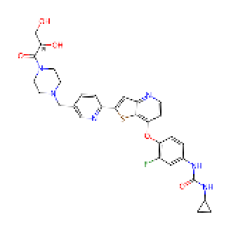 O=C(Nc1ccc(Oc2ccnc3cc(-c4ccc(CN5CCN(C(=O)[C@H](O)CO)CC5)cn4)sc23)c(F)c1)NC1CC1